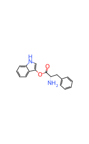 N[C@@H](Cc1ccccc1)C(=O)Oc1c[nH]c2ccccc12